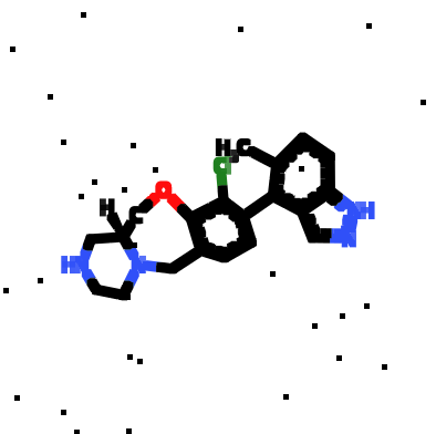 Cc1ccc2[nH]ncc2c1-c1ccc2c(c1Cl)OC[C@H]1CNCCN1C2